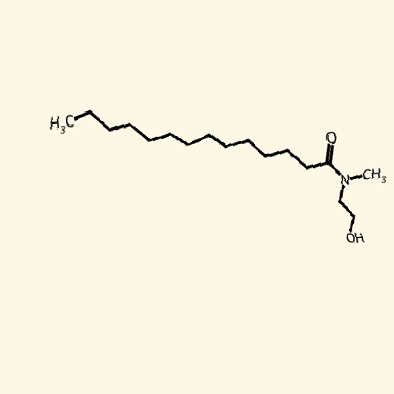 CCCCCCCCCCCCCC(=O)N(C)CCO